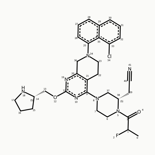 CC(F)C(=O)N1CCN(c2nc(OC[C@@H]3CCCN3)nc3c2CCN(c2cccc4cccc(Cl)c24)C3)C[C@@H]1CC#N